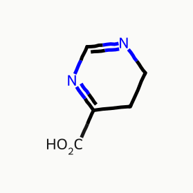 O=C(O)C1=NC=NCC1